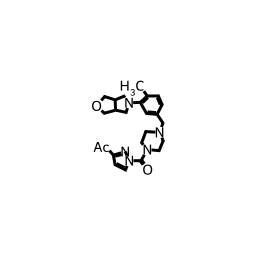 CC(=O)c1ccn(C(=O)N2CCN(Cc3ccc(C)c(N4CC5COCC5C4)c3)CC2)n1